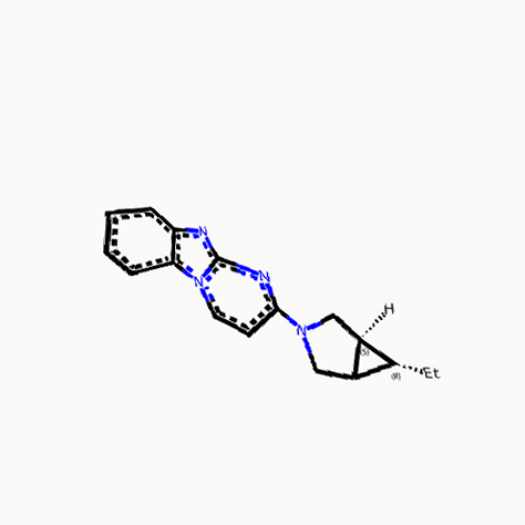 CC[C@@H]1C2CN(c3ccn4c(n3)nc3ccccc34)C[C@H]21